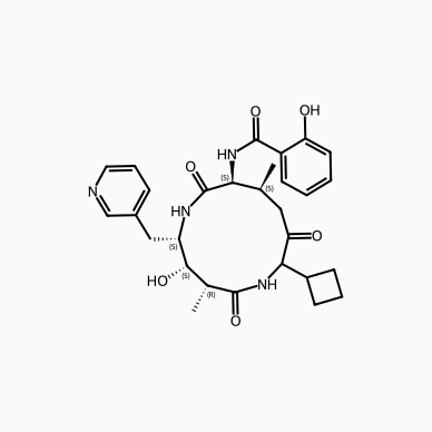 C[C@H]1CC(=O)C(C2CCC2)NC(=O)[C@H](C)[C@H](O)[C@H](Cc2cccnc2)NC(=O)[C@H]1NC(=O)c1ccccc1O